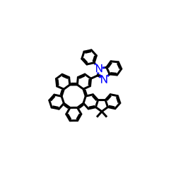 CC1(C)c2ccccc2-c2cc3c4cc(-c5nc6ccccc6n5-c5ccccc5)ccc4c4ccccc4c4ccccc4c4ccccc4c3cc21